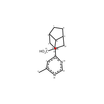 Cc1cc(N2CC3CCC(C2)C3NC(=O)O)ncn1